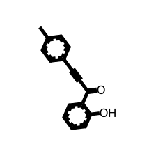 Cc1ccc(C#CC(=O)c2ccccc2O)cc1